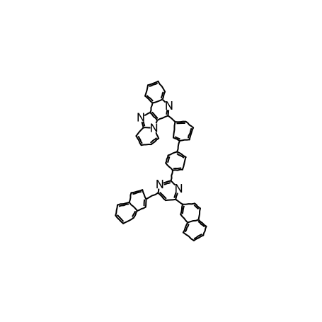 c1cc(-c2ccc(-c3nc(-c4ccc5ccccc5c4)cc(-c4ccc5ccccc5c4)n3)cc2)cc(-c2nc3ccccc3c3nc4ccccn4c23)c1